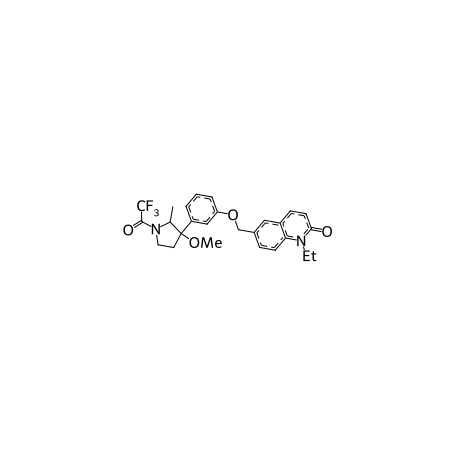 CCn1c(=O)ccc2cc(COc3cccc(C4(OC)CCN(C(=O)C(F)(F)F)C4C)c3)ccc21